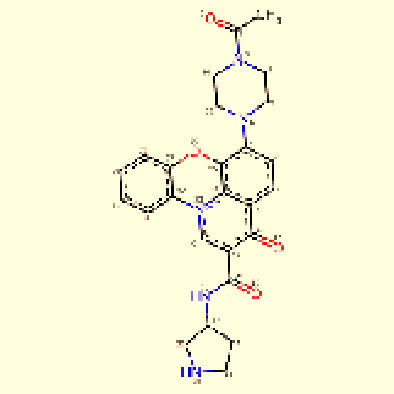 CC(=O)N1CCN(c2ccc3c(=O)c(C(=O)NC4CCNC4)cn4c3c2Oc2ccccc2-4)CC1